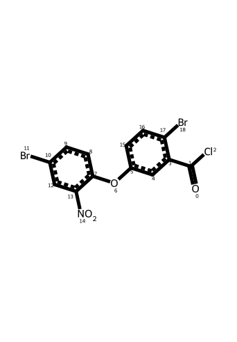 O=C(Cl)c1cc(Oc2ccc(Br)cc2[N+](=O)[O-])ccc1Br